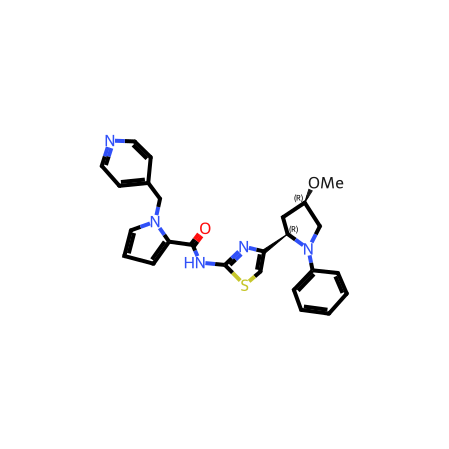 CO[C@@H]1C[C@H](c2csc(NC(=O)c3cccn3Cc3ccncc3)n2)N(c2ccccc2)C1